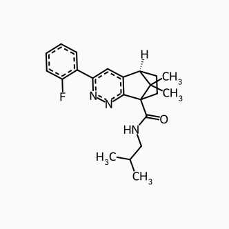 CC(C)CNC(=O)C12CC[C@H](c3cc(-c4ccccc4F)nnc31)C2(C)C